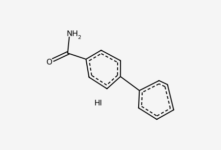 I.NC(=O)c1ccc(-c2ccccc2)cc1